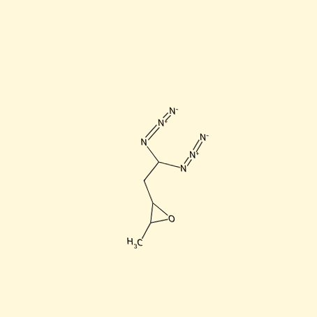 CC1OC1CC(N=[N+]=[N-])N=[N+]=[N-]